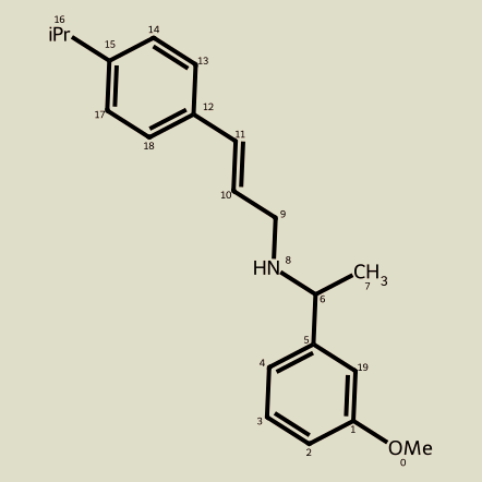 COc1cccc(C(C)NCC=Cc2ccc(C(C)C)cc2)c1